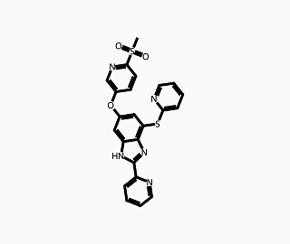 CS(=O)(=O)c1ccc(Oc2cc(Sc3ccccn3)c3nc(-c4ccccn4)[nH]c3c2)cn1